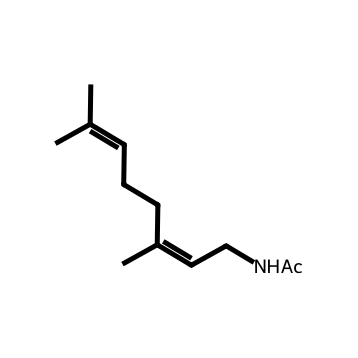 CC(=O)NC/C=C(/C)CCC=C(C)C